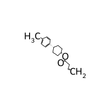 C=CCC(=O)O[C@H]1CC[C@H](c2ccc(C)cc2)CC1